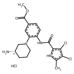 COC(=O)c1ccc(NC(=O)c2[nH]c(C)c(Cl)c2Cl)c(N2CCC[C@H](N)C2)c1.Cl